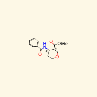 COC(=O)[C@H]1COCC[C@H]1NC(=O)c1ccccc1